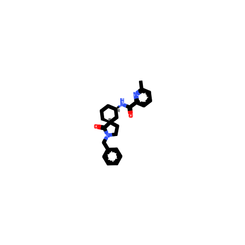 Cc1cccc(C(=O)N[C@H]2CCC[C@]3(CCN(Cc4ccccc4)C3=O)C2)n1